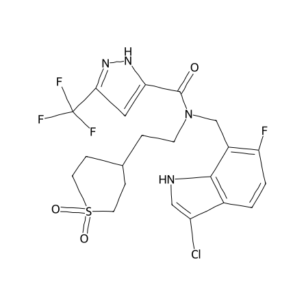 O=C(c1cc(C(F)(F)F)n[nH]1)N(CCC1CCS(=O)(=O)CC1)Cc1c(F)ccc2c(Cl)c[nH]c12